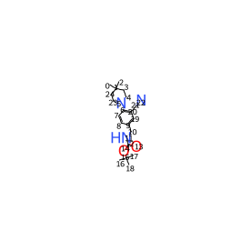 CC1(C)CCN(c2ccc(CNC(=O)OC(C)(C)C)cc2C#N)CC1